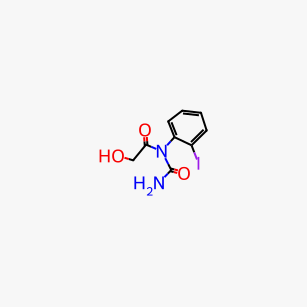 NC(=O)N(C(=O)CO)c1ccccc1I